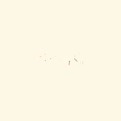 C=C(C)C(=O)OCCC(F)(F)C(F)(F)S(=O)(=O)[O-].[K+]